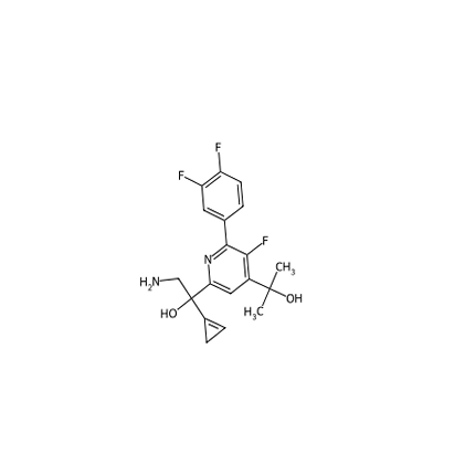 CC(C)(O)c1cc(C(O)(CN)C2=CC2)nc(-c2ccc(F)c(F)c2)c1F